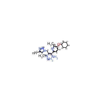 CCCc1cn(C/C(=C(/N)c2ccc(OC3CCCCC3)c(C)n2)N(C)N)nn1